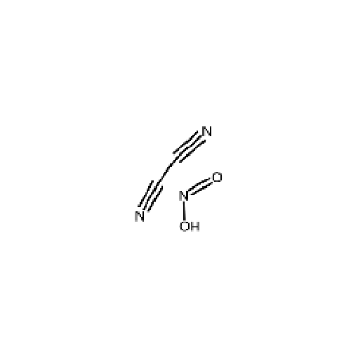 N#CC#N.O=NO